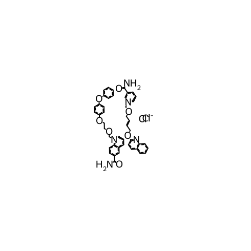 NC(=O)c1ccc2c(ccc[n+]2COCCOc2ccc(Oc3ccccc3)cc2)c1.NC(=O)c1ccc[n+](COCC=CCOc2ccc3ccccc3n2)c1.[Cl-].[Cl-]